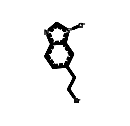 [O-][s+]1cnc2ccc(CCBr)cc21